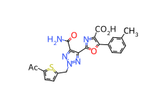 CC(=O)c1ccc(Cn2nc(C(N)=O)c(-c3nc(C(=O)O)c(-c4cccc(C)c4)o3)n2)s1